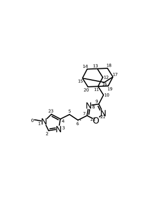 Cn1cnc(C[CH]c2nc(CC34CC5CC(CC(C5)C3)C4)no2)c1